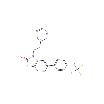 O=c1oc2ccc(-c3ccc(OC(F)(F)F)cc3)cc2n1CCc1cnccn1